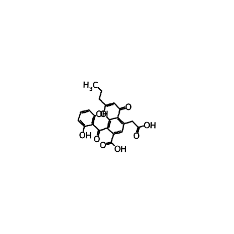 CCCc1cc(=O)c2c(CC(=O)O)cc(C(=O)O)c(C(=O)c3c(O)cccc3O)c2o1